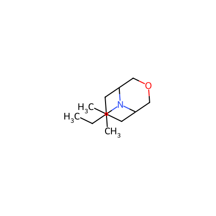 CCC1CC2COCC(C1)N2C(C)C